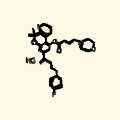 CC(CCCc1ccc(F)cc1)c1cc(OC(=O)CCCN2CCOCC2)c2c(c1)OC(C)(C)C1=C2C2CCN1CC2.Cl